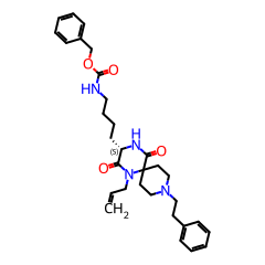 C=CCN1C(=O)[C@H](CCCCNC(=O)OCc2ccccc2)NC(=O)C12CCN(CCc1ccccc1)CC2